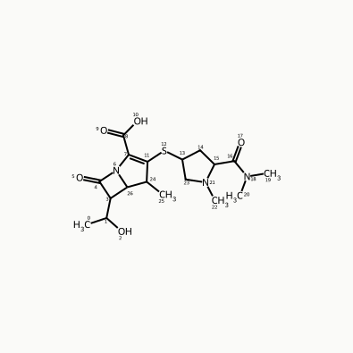 CC(O)C1C(=O)N2C(C(=O)O)=C(SC3CC(C(=O)N(C)C)N(C)C3)C(C)C12